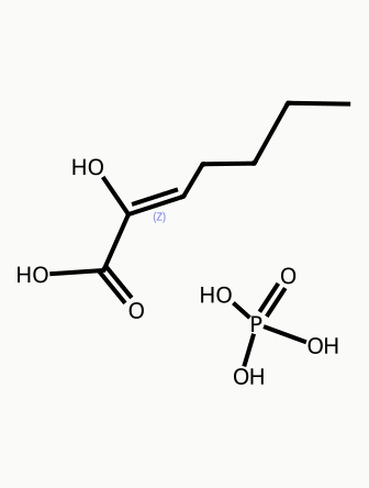 CCCC/C=C(\O)C(=O)O.O=P(O)(O)O